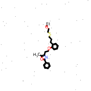 CCOCCSCCCc1ccccc1OCCc1nc(-c2ccccc2)oc1C